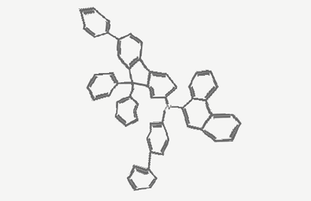 c1ccc(-c2ccc(N(c3ccc4c(c3)C(c3ccccc3)(c3ccccc3)c3cc(-c5ccccc5)ccc3-4)c3cc4ccccc4c4ccccc34)cc2)cc1